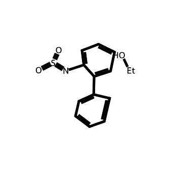 CCO.O=S(=O)=Nc1ccccc1-c1ccccc1